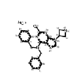 Cl.Clc1nc(N(Cc2ccccc2)Cc2ccccc2)c2ncn(C3CNC3)c2n1